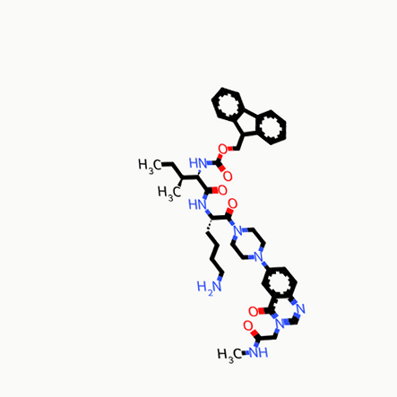 CC[C@H](C)[C@H](NC(=O)OCC1c2ccccc2-c2ccccc21)C(=O)N[C@@H](CCCCN)C(=O)N1CCN(c2ccc3ncn(CC(=O)NC)c(=O)c3c2)CC1